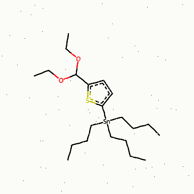 CCC[CH2][Sn]([CH2]CCC)([CH2]CCC)[c]1ccc(C(OCC)OCC)s1